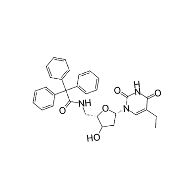 CCc1cn([C@@H]2CC(O)[C@H](CNC(=O)C(c3ccccc3)(c3ccccc3)c3ccccc3)O2)c(=O)[nH]c1=O